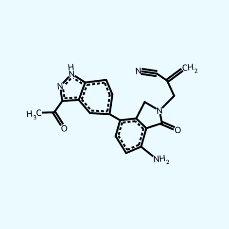 C=C(C#N)CN1Cc2c(-c3ccc4[nH]nc(C(C)=O)c4c3)ccc(N)c2C1=O